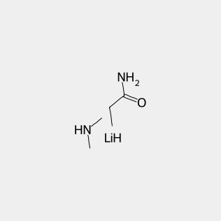 CCC(N)=O.CNC.[LiH]